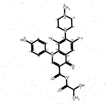 CC(O)C(=O)OC(=O)c1cn(-c2ccc(O)cc2)c2c(F)c(N3CCN(C)CC3)c(F)cc2c1=O